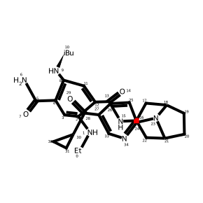 CCNc1cc(C(N)=O)c(N[C@H](C)CC)cc1C(=O)NC1CC2CCC(C1)N2c1ccc(C(=O)C2CC2)cn1